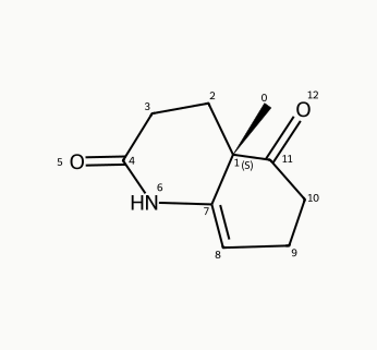 C[C@]12CCC(=O)NC1=CCCC2=O